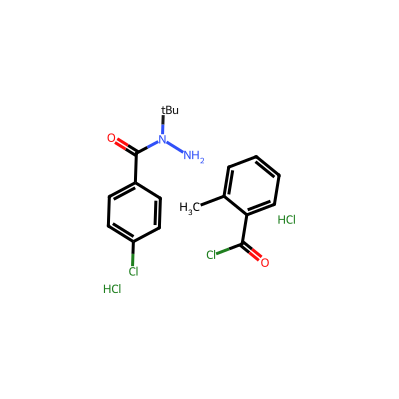 CC(C)(C)N(N)C(=O)c1ccc(Cl)cc1.Cc1ccccc1C(=O)Cl.Cl.Cl